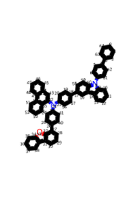 c1ccc(-c2ccc(-n3c4ccccc4c4cc(-c5ccc(N(c6ccc(-c7cccc8c7oc7ccccc78)cc6)c6cc7ccccc7c7ccccc67)cc5)ccc43)cc2)cc1